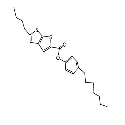 CCCCCCCc1ccc(OC(=O)c2cc3cc(CCCC)sc3s2)cc1